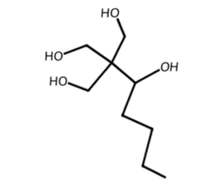 CCCCC(O)C(CO)(CO)CO